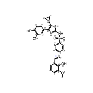 COc1cccc(/C=N/c2ccc(S(=O)(=O)Nc3nc(-c4ccc(F)c(Cl)c4)c(C4CC4)s3)nc2)c1O